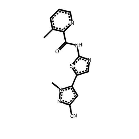 Cc1cccnc1C(=O)Nc1ncc(-c2cc(C#N)nn2C)s1